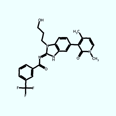 Cc1ccn(C)c(=O)c1-c1ccc2c(c1)[nH]/c(=N\C(=O)c1cccc(C(F)(F)F)c1)n2CCCO